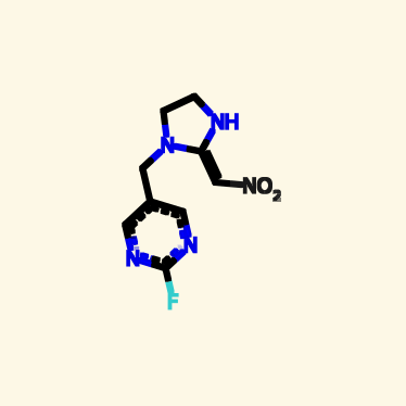 O=[N+]([O-])C=C1NCCN1Cc1cnc(F)nc1